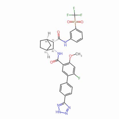 COc1cc(F)c(-c2ccc(-c3nn[nH]n3)cc2)cc1C(=O)N[C@@H]1[C@H]2CC[C@H](C2)[C@@H]1C(=O)Nc1cccc(S(=O)(=O)C(F)(F)F)c1